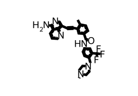 Cc1ccc(C(=O)Nc2ccc(CN3CCN(C)CC3)c(C(F)(F)F)c2)cc1C#Cc1cnc(N)c2cccnc12